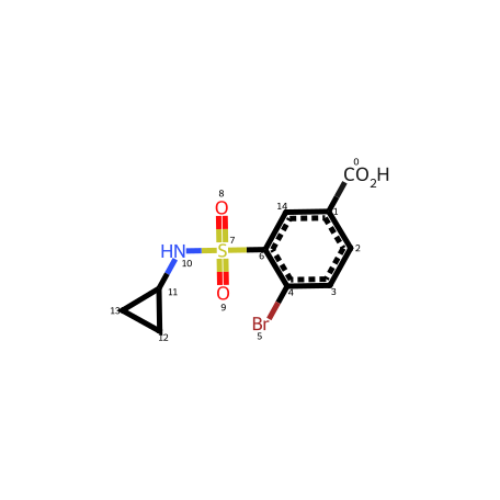 O=C(O)c1ccc(Br)c(S(=O)(=O)NC2CC2)c1